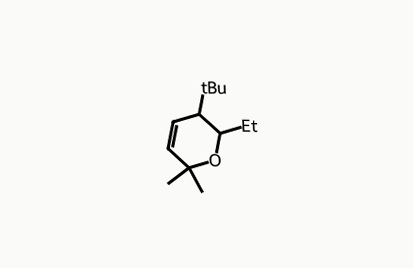 CCC1OC(C)(C)C=CC1C(C)(C)C